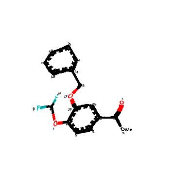 COC(=O)c1ccc(OC(F)F)c(OCc2ccccc2)c1